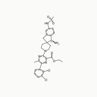 CCOC(=O)c1nc(-c2cccc(Cl)c2Cl)c(C)nc1N1CCC2(CC1)Cc1cc(NS(C)(=O)=O)ccc1[C@H]2N